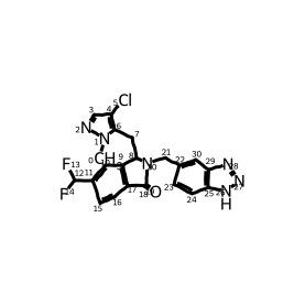 Cn1ncc(Cl)c1CC1c2cc(C(F)F)ccc2C(=O)N1Cc1ccc2[nH]nnc2c1